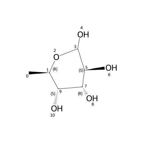 C[C@H]1OC(O)[C@@H](O)[C@H](O)[C@@H]1O